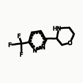 FC(F)(F)c1ccc(C2COCCN2)nn1